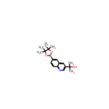 CC(C)(O)c1cnc2ccc(B3OC(C)(C)C(C)(C)O3)cc2c1